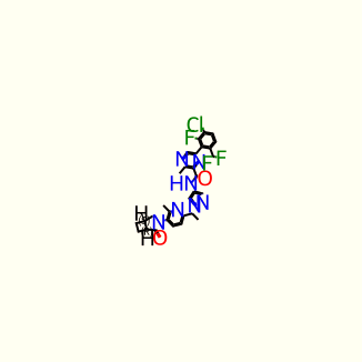 Cc1nc(C(C)n2cc(NC(=O)c3nc(-c4c(C(F)F)ccc(Cl)c4F)cnc3C)cn2)ccc1N1C[C@H]2CC[C@H]2C1=O